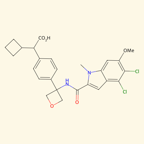 COc1cc2c(cc(C(=O)NC3(c4ccc(C(C(=O)O)C5CCC5)cc4)COC3)n2C)c(Cl)c1Cl